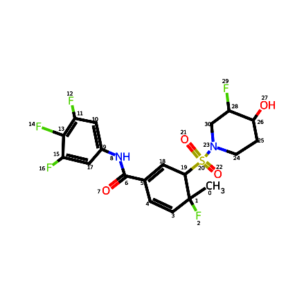 CC1(F)C=CC(C(=O)Nc2cc(F)c(F)c(F)c2)=CC1S(=O)(=O)N1CCC(O)C(F)C1